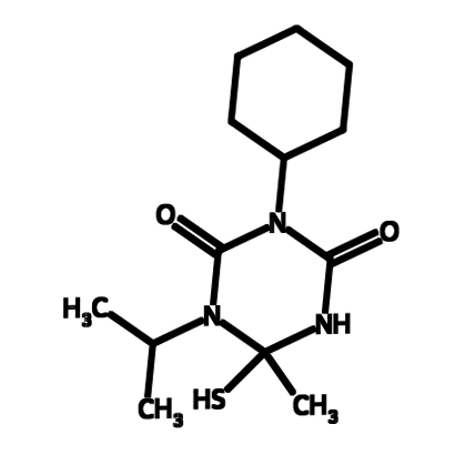 CC(C)N1C(=O)N(C2CCCCC2)C(=O)NC1(C)S